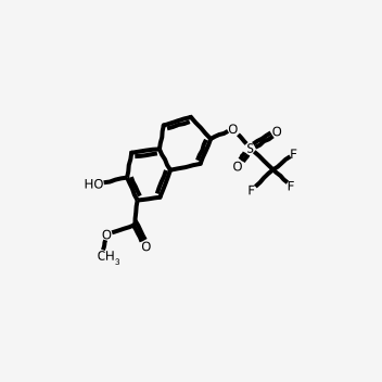 COC(=O)c1cc2cc(OS(=O)(=O)C(F)(F)F)ccc2cc1O